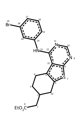 CCOC(=O)CC1CCc2c(sc3ncnc(Nc4cccc(Br)c4)c23)C1